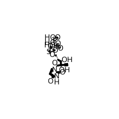 C#C[C@@]1(O)[C@H](O)[C@@H](COP(O)(=S)OP(=O)(O)OP(=O)(O)O)O[C@H]1n1ccc(=O)[nH]c1=O